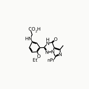 CCCc1nc(C)c2c(=O)[nH]c(-c3cc(NCC(=O)O)ccc3OCC)nn12